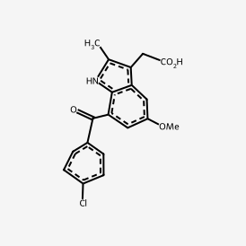 COc1cc(C(=O)c2ccc(Cl)cc2)c2[nH]c(C)c(CC(=O)O)c2c1